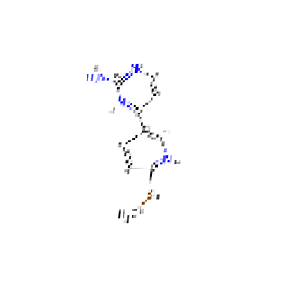 CSc1ccc(-c2ccnc(N)n2)cn1